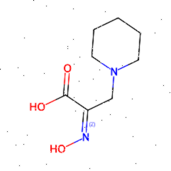 O=C(O)/C(CN1CCCCC1)=N\O